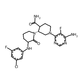 NC(=O)C1CCN(c2ncnc(N)c2F)C[C@@H]1N1CCCC(Nc2cc(F)cc(Cl)c2)C1=O